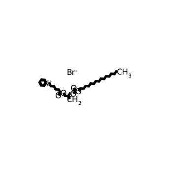 C=C(COC(=O)CCCCC[n+]1ccccc1)COC(=O)OCCCCCCCCCCCCCCCC.[Br-]